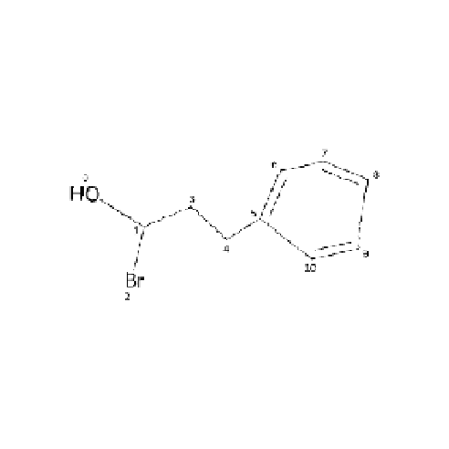 OC(Br)CCc1ccccc1